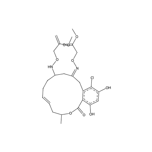 C=C(CONC1CC/C=C/CC(C)OC(=O)c2c(O)cc(O)c(Cl)c2C/C(=N/OCC(=O)OC)C1)OC